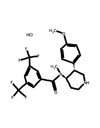 COc1ccc([C@@H]2CNCC[C@H]2N(C)C(=O)c2cc(C(F)(F)F)cc(C(F)(F)F)c2)cc1.Cl